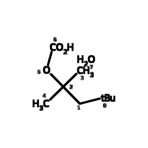 CC(C)(C)CC(C)(C)OC(=O)O.O